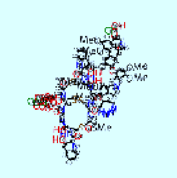 C1=CN=NN=NC=C1.COc1cc(C[C@H]2c3cc(OC)c(OC)cc3CCN2C)c(Oc2cc3c(cc2OC)-c2c(OC)c(OC)cc4c2[C@H](C3)N(C)CC4)cc1OC.CSCC1C(=O)SCC(NC(=O)c2nc3ccccc3cc2O)C(O)=NCC(=O)N(C)C2CSSCC(C(=O)N1C)N(C)C(=O)CN=C(O)C(NC(=O)c1nc3ccccc3cc1O)CSC(=O)C(CSC)N(C)C2=O.O.O=O.[O-][Cl+]O.[O-][Cl+]O.[O-][Cl+]O.[O-][Cl+]O